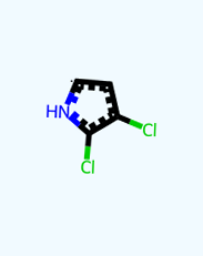 Clc1c[c][nH]c1Cl